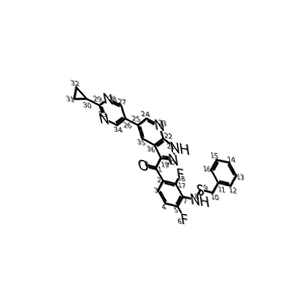 O=C(c1ccc(F)c(NSCc2ccccc2)c1F)c1n[nH]c2ncc(-c3cnc(C4CC4)nc3)cc12